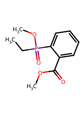 CCP(=O)(OC)c1ccccc1C(=O)OC